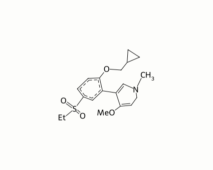 CCS(=O)(=O)c1ccc(OCC2CC2)c(C2=CN(C)CC=C2OC)c1